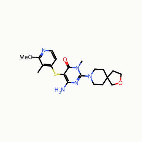 COc1nccc(Sc2c(N)nc(N3CCC4(CCOC4)CC3)n(C)c2=O)c1C